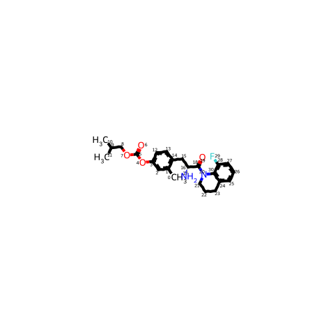 Cc1cc(OC(=O)OCC(C)C)ccc1C[C@@H](N)C(=O)N1CCCc2cccc(F)c21